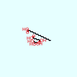 CCCCCCCCCCCCCCCCCC(=O)O.O=C(O)CCCCC(=O)O.OCC(O)CO